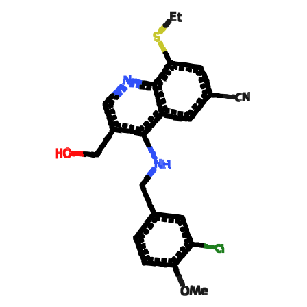 CCSc1cc(C#N)cc2c(NCc3ccc(OC)c(Cl)c3)c(CO)cnc12